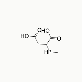 CPC(CC(=O)O)C(=O)O